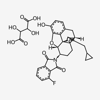 O=C(O)C(O)C(O)C(=O)O.O=C1c2cccc(F)c2C(=O)N1[C@@H]1CC[C@@]2(O)[C@H]3Cc4ccc(O)c5c4[C@@]2(CCN3CC2CC2)[C@H]1O5